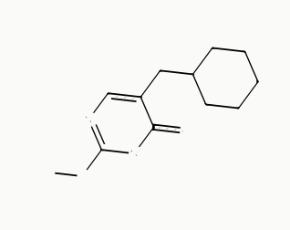 CSc1ncc(CC2CCCCC2)c(=O)[nH]1